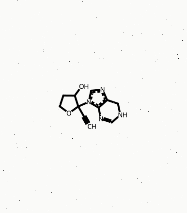 C#CC1(n2cnc3c2N=CNC3)OCCC1O